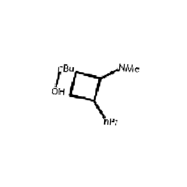 CCCC1CCC1NC.CCCCO